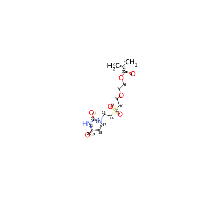 C=C(C)C(=O)OCCOCCS(=O)(=O)CCn1ccc(=O)[nH]c1=O